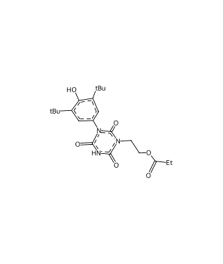 CCC(=O)OCCn1c(=O)[nH]c(=O)n(-c2cc(C(C)(C)C)c(O)c(C(C)(C)C)c2)c1=O